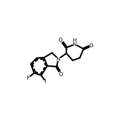 O=C1CCC(N2Cc3ccc(F)c(I)c3C2=O)C(=O)N1